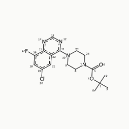 CC(C)(C)OC(=O)N1CCN(c2ncnc3c(F)cc(Cl)cc23)CC1